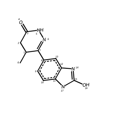 CC1CC(=O)NN=C1c1ccc2c(c1)N=C(O)[N]2